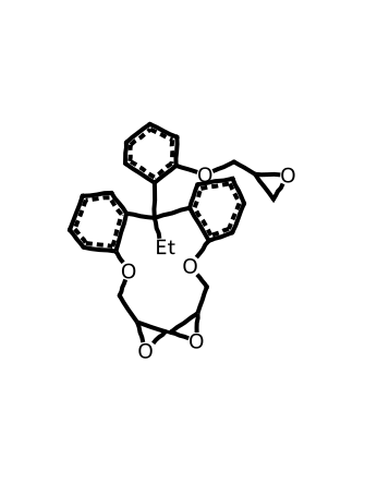 CCC(c1ccccc1OCC1CO1)(c1ccccc1OCC1CO1)c1ccccc1OCC1CO1